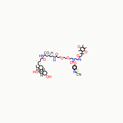 CC1=C(C)C(=O)C(C(C)(C)CC(=O)N(C)CCN(CCOCCOCCC(=O)NCCCCC(NC(=O)CC[C@@H](C)[C@H]2CC[C@H]3[C@@H]4[C@H](O)C[C@@H]5C[C@H](O)CC[C@]5(C)[C@H]4CC[C@]23C)C(=O)O)C(=O)Oc2ccc3nc(C#N)sc3c2)=C(C)C1=O